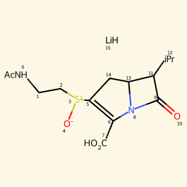 CC(=O)NCC[S+]([O-])C1=C(C(=O)O)N2C(=O)C(C(C)C)C2C1.[LiH]